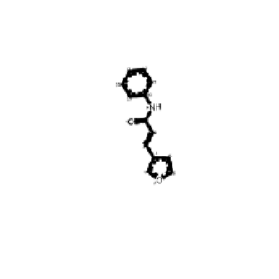 O=C(C=Cc1ccoc1)Nc1ccccc1